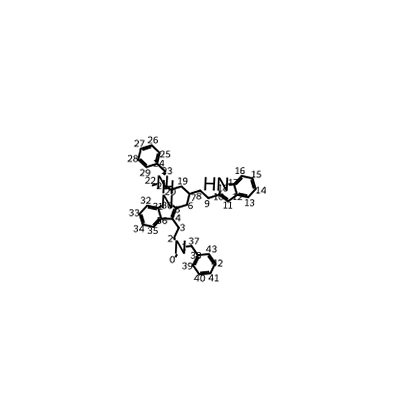 CN(CCc1c(CC(CCc2cc3ccccc3[nH]2)CCN(C)Cc2ccccc2)[nH]c2ccccc12)Cc1ccccc1